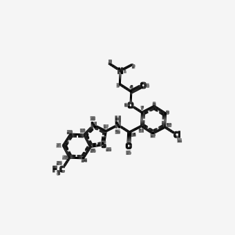 CN(C)CC(=O)Oc1ccc(Cl)cc1C(=O)Nc1nc2ccc(C(F)(F)F)cc2s1